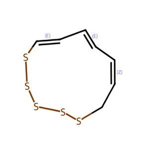 C1=C\CSSSSS/C=C/C=C/1